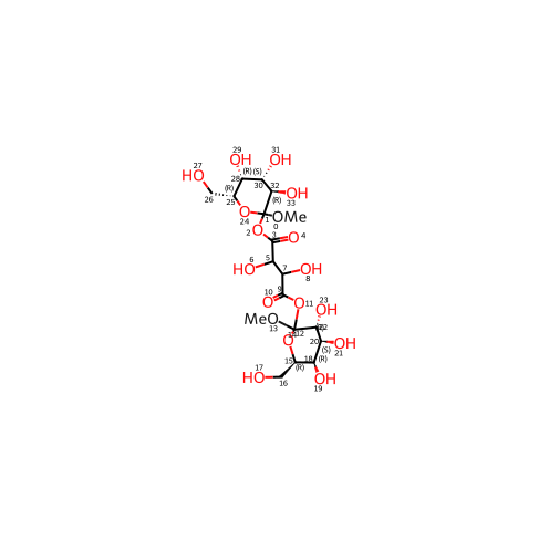 COC1(OC(=O)C(O)C(O)C(=O)OC2(OC)O[C@H](CO)[C@H](O)[C@H](O)[C@H]2O)O[C@H](CO)[C@H](O)[C@H](O)[C@H]1O